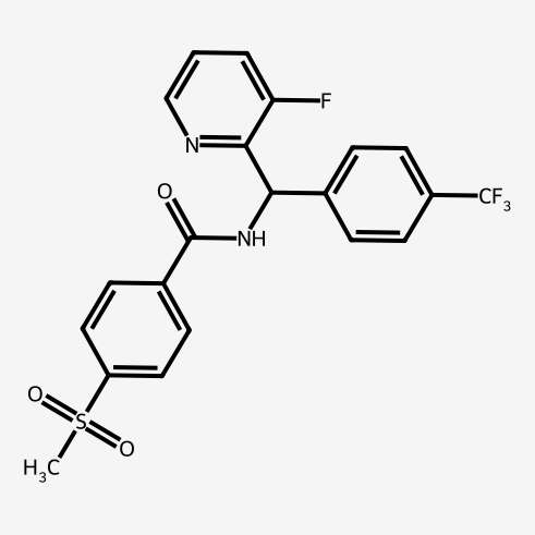 CS(=O)(=O)c1ccc(C(=O)NC(c2ccc(C(F)(F)F)cc2)c2ncccc2F)cc1